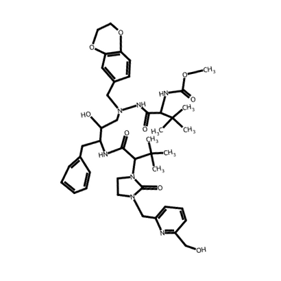 COC(=O)NC(C(=O)NN(Cc1ccc2c(c1)OCCO2)CC(O)C(Cc1ccccc1)NC(=O)C(N1CCN(Cc2cccc(CO)n2)C1=O)C(C)(C)C)C(C)(C)C